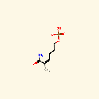 CC(=CCCCOS(=O)(=O)O)C(N)=O